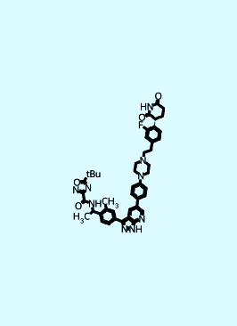 Cc1cc(-c2n[nH]c3ncc(-c4ccc(N5CCN(CCc6ccc([C@H]7CCC(=O)NC7=O)c(F)c6)CC5)cc4)cc23)ccc1C(C)NC(=O)c1noc(C(C)(C)C)n1